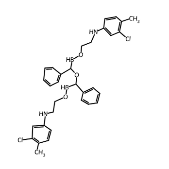 Cc1ccc(NCCOBC(OC(BOCCNc2ccc(C)c(Cl)c2)c2ccccc2)c2ccccc2)cc1Cl